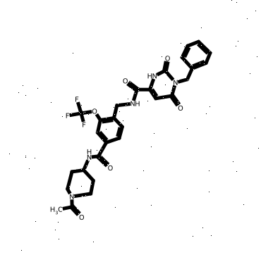 CC(=O)N1CCC(NC(=O)c2ccc(CNC(=O)c3cc(=O)n(Cc4ccccc4)c(=O)[nH]3)c(OC(F)(F)F)c2)CC1